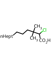 CCCCCCCCCCC(C)(C)C(Cl)C(=O)O